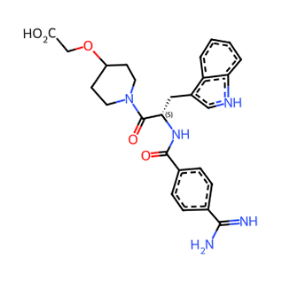 N=C(N)c1ccc(C(=O)N[C@@H](Cc2c[nH]c3ccccc23)C(=O)N2CCC(OCC(=O)O)CC2)cc1